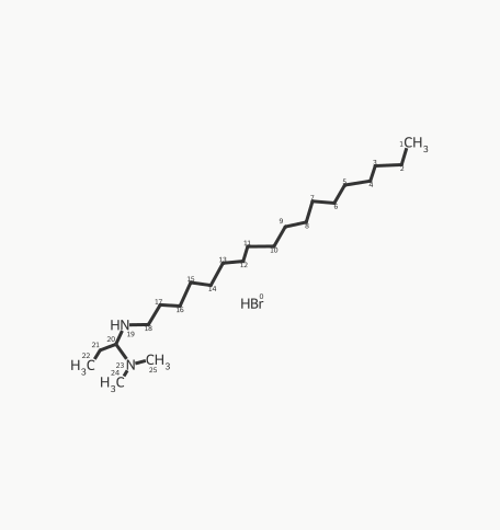 Br.CCCCCCCCCCCCCCCCCCNC(CC)N(C)C